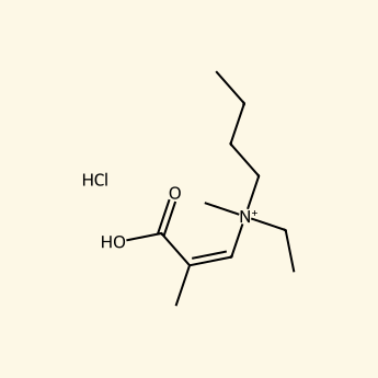 CCCC[N+](C)(C=C(C)C(=O)O)CC.Cl